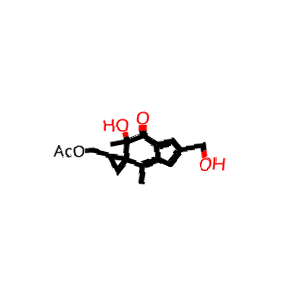 CC(=O)OCC1CC12C(C)=C1C=C(CO)C=C1C(=O)C2(C)O